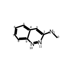 C[N]c1cc2ccccc2nn1